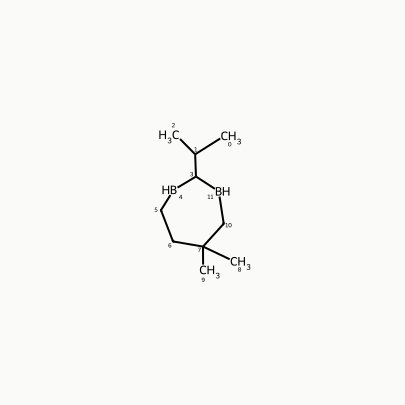 CC(C)C1BCCC(C)(C)CB1